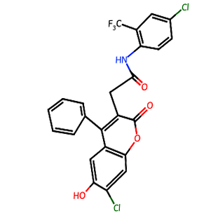 O=C(Cc1c(-c2ccccc2)c2cc(O)c(Cl)cc2oc1=O)Nc1ccc(Cl)cc1C(F)(F)F